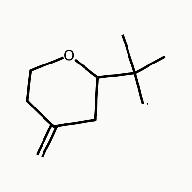 [CH2]C(C)(C)C1CC(=C)CCO1